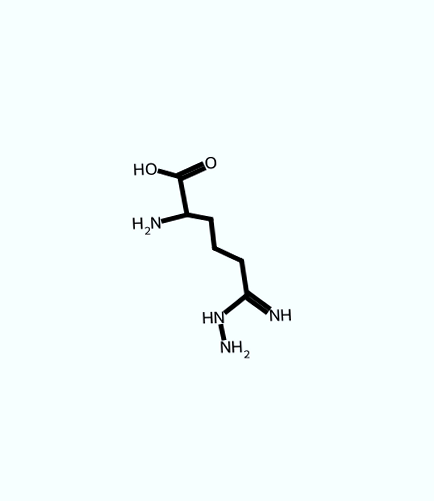 N=C(CCCC(N)C(=O)O)NN